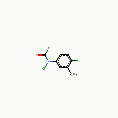 COc1cc(N(Cl)C(=O)Cl)ccc1Cl